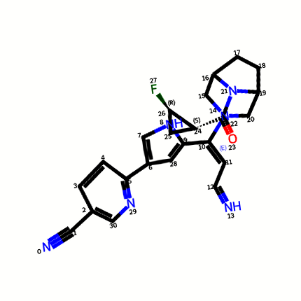 N#Cc1ccc(-c2c[nH]c(/C(=C\C=N)N3CC4CCC(C3)N4C(=O)[C@@H]3C[C@H]3F)c2)nc1